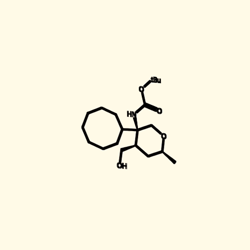 C[C@H]1C[C@@H](CO)[C@](NC(=O)OC(C)(C)C)(C2CCCCCCC2)CO1